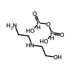 NCCNCCO.O=[PH](O)O[PH](=O)O